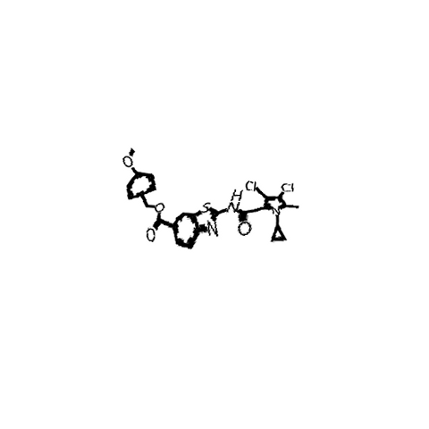 COc1ccc(COC(=O)c2ccc3nc(NC(=O)c4c(Cl)c(Cl)c(C)n4C4CC4)sc3c2)cc1